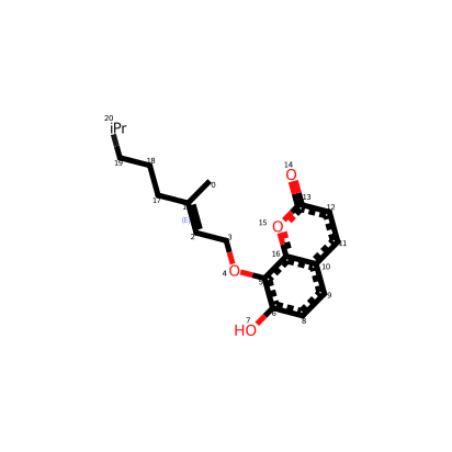 C/C(=C\COc1c(O)ccc2ccc(=O)oc12)CCCC(C)C